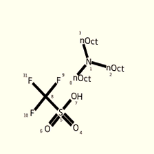 CCCCCCCCN(CCCCCCCC)CCCCCCCC.O=S(=O)(O)C(F)(F)F